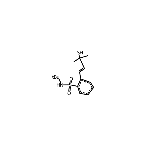 CC(C)(S)/C=C/c1ccccc1S(=O)(=O)NC(C)(C)C